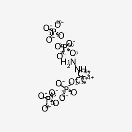 NN.O=P([O-])([O-])[O-].O=P([O-])([O-])[O-].O=P([O-])([O-])[O-].O=P([O-])([O-])[O-].[C+4].[C+4].[C+4]